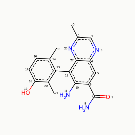 Cc1cnc2cc(C(N)=O)c(N)c(-c3c(C)ccc(O)c3C)c2n1